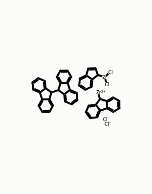 [Cl-].[Cl-].[Cl][Zr]([Cl])[CH]1C=Cc2ccccc21.[Zr+2][CH]1c2ccccc2-c2ccccc21.c1ccc2c(c1)-c1ccccc1C2C1c2ccccc2-c2ccccc21